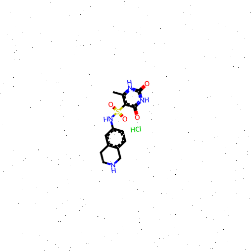 Cc1[nH]c(=O)[nH]c(=O)c1S(=O)(=O)Nc1ccc2c(c1)CCNC2.Cl